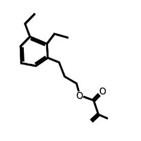 C=C(C)C(=O)OCCCc1cccc(CC)c1CC